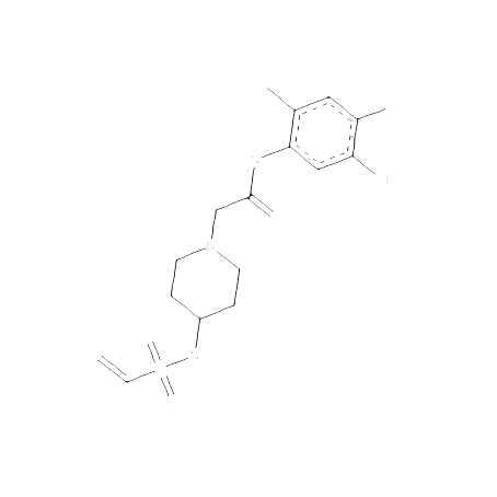 C=CS(=O)(=O)NC1CCN(CC(=O)Nc2cc(Cl)c(Cl)cc2C)CC1